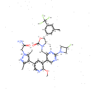 COc1ncc(-c2c(C)nn(CC(N)=O)c2C)cc1-c1cnc(N2CC(F)C2)nc1CN1C(=O)O[C@H](c2cc(C)cc(C(F)(F)F)c2)[C@@H]1C